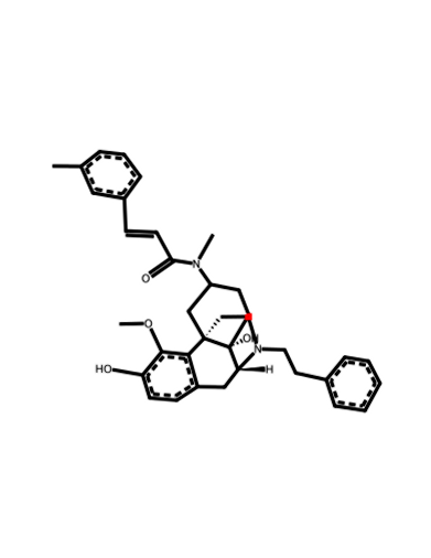 COc1c(O)ccc2c1[C@]13CCN(CCc4ccccc4)[C@H](C2)[C@]1(O)CCC(N(C)C(=O)/C=C/c1cccc(C)c1)C3